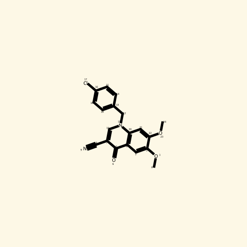 COc1cc2c(=O)c(C#N)cn(Cc3ccc(Cl)cc3)c2cc1OC